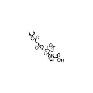 CCC(CC)OC(=O)CCC(=O)OC[C@H]1O[C@@H]([n+]2cccc(C(=O)O)c2)[C@H](OC(C)=O)[C@@H]1C